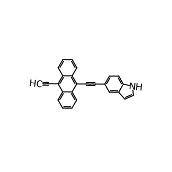 C#Cc1c2ccccc2c(C#Cc2ccc3[nH]ccc3c2)c2ccccc12